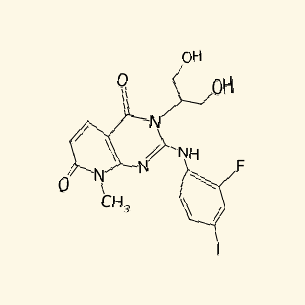 Cn1c(=O)ccc2c(=O)n(C(CO)CO)c(Nc3ccc(I)cc3F)nc21